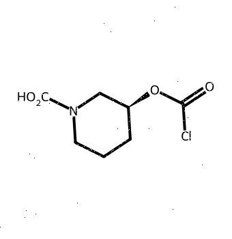 O=C(Cl)O[C@H]1CCCN(C(=O)O)C1